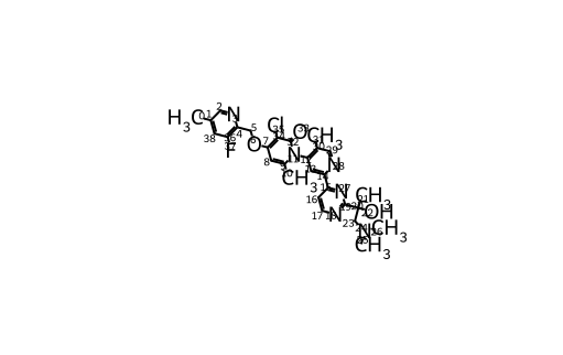 Cc1cnc(COc2cc(C)n(-c3cc(-c4ccnc(C(C)(O)CN(C)C)n4)ncc3C)c(=O)c2Cl)c(F)c1